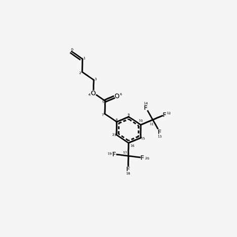 C=CCCOC(=O)Cc1cc(C(F)(F)F)cc(C(F)(F)F)c1